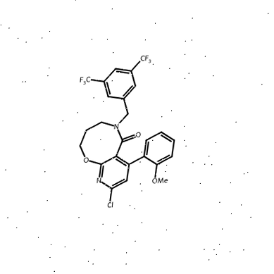 COc1ccccc1-c1cc(Cl)nc2c1C(=O)N(Cc1cc(C(F)(F)F)cc(C(F)(F)F)c1)CCCO2